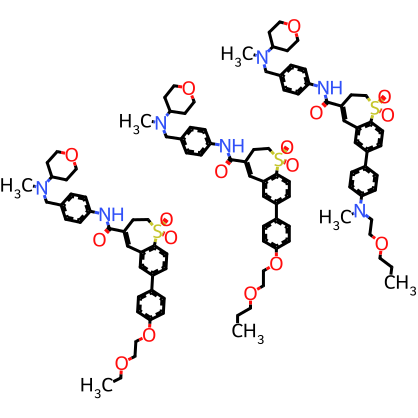 CCCOCCN(C)c1ccc(-c2ccc3c(c2)C=C(C(=O)Nc2ccc(CN(C)C4CCOCC4)cc2)CCS3(=O)=O)cc1.CCCOCCOc1ccc(-c2ccc3c(c2)C=C(C(=O)Nc2ccc(CN(C)C4CCOCC4)cc2)CCS3(=O)=O)cc1.CCOCCOc1ccc(-c2ccc3c(c2)C=C(C(=O)Nc2ccc(CN(C)C4CCOCC4)cc2)CCS3(=O)=O)cc1